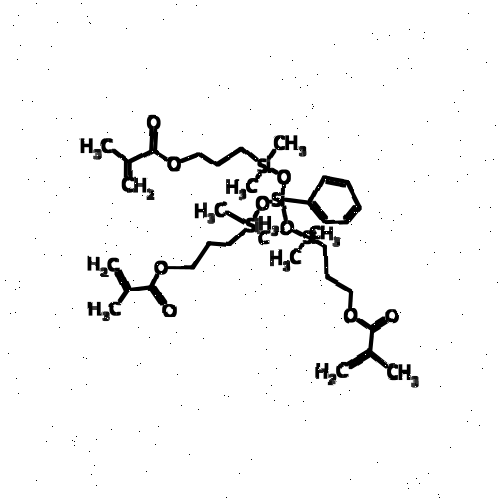 C=C(C)C(=O)OCCC[Si](C)(C)O[Si](O[Si](C)(C)CCCOC(=O)C(=C)C)(O[Si](C)(C)CCCOC(=O)C(=C)C)c1ccccc1